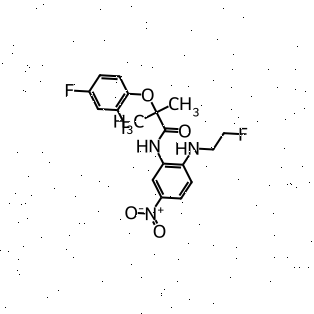 CC(C)(Oc1ccc(F)cc1F)C(=O)Nc1cc([N+](=O)[O-])ccc1NCCF